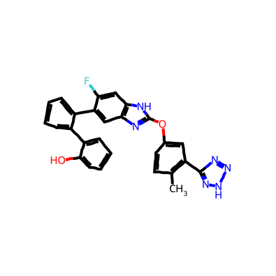 Cc1ccc(Oc2nc3cc(-c4ccccc4-c4ccccc4O)c(F)cc3[nH]2)cc1-c1nn[nH]n1